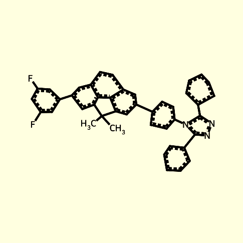 CC1(C)c2cc(-c3ccc(-n4c(-c5ccccc5)nnc4-c4ccccc4)cc3)cc3ccc4cc(-c5cc(F)cc(F)c5)cc1c4c23